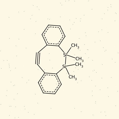 C[Si]1(C)c2ccccc2C#Cc2ccccc2[Si]1(C)C